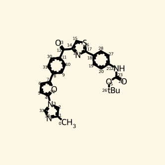 Cc1cn(-c2ccc(-c3ccc(C(=O)c4csc(-c5ccc(NC(=O)OC(C)(C)C)cc5)n4)cc3)o2)cn1